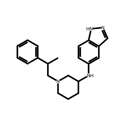 CC(CN1CCCC(Nc2ccc3[nH]ncc3c2)C1)c1ccccc1